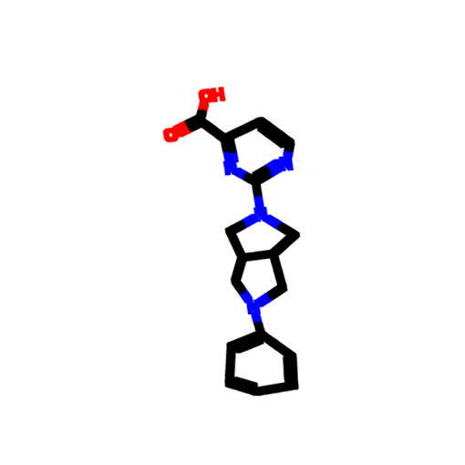 O=C(O)c1ccnc(N2CC3CN(c4ccccc4)CC3C2)n1